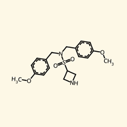 COc1ccc(CN(Cc2ccc(OC)cc2)S(=O)(=O)C2CNC2)cc1